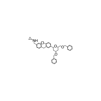 Clc1ccc(C2CC(OCc3ccccc3)CC(COCc3ccccc3)O2)cc1Cc1ccc(CNC2CC2)cc1